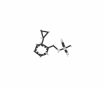 CS(=O)(=O)OCc1ncccc1C1CC1